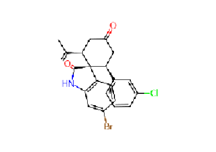 C=C(C)[C@H]1CC(=O)C[C@@H](c2cccc(Cl)c2)[C@@]12C(=O)Nc1cc(Br)ccc12